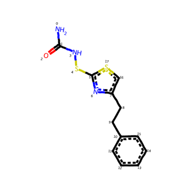 NC(=O)NSc1nc(CCc2ccccc2)cs1